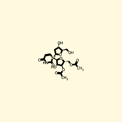 CC(=O)OC[C@H]1O[C@H]([N+]2([C@H]3C[C@H](O)[C@@H](CO)O3)C=CC(=O)NC2=O)[C@H](O)[C@@H]1OC(C)=O